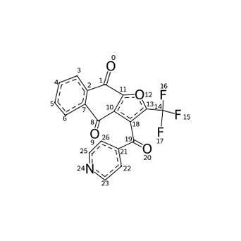 O=C1c2ccccc2C(=O)c2c1oc(C(F)(F)F)c2C(=O)c1ccncc1